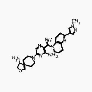 Cn1cc(-c2ccc3c(n2)CCCN3C(=N)c2ncc(N3CCC4(CC3)COC[C@H]4N)nc2N)cn1